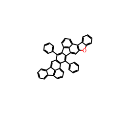 c1ccc(-c2c3cc4c5ccccc5c5cccc(c3c(-c3ccccc3)c3c6cc7oc8ccccc8c7c7cccc(c23)c67)c54)cc1